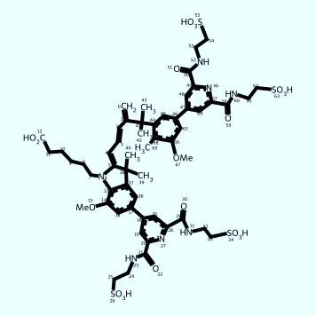 C=C(/C=C/C=C1/N(CCCCCC(=O)O)c2c(OC)cc(-c3cc(C(=O)NCCS(=O)(=O)O)nc(C(=O)NCCS(=O)(=O)O)c3)cc2C1(C)C)C(C)(C)c1cc(-c2cc(C(=O)NCCS(=O)(=O)O)nc(C(=O)NCCS(=O)(=O)O)c2)cc(OC)c1C